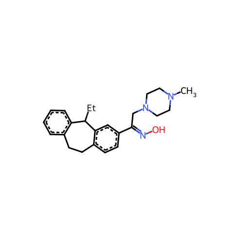 CCC1c2ccccc2CCc2ccc(/C(CN3CCN(C)CC3)=N/O)cc21